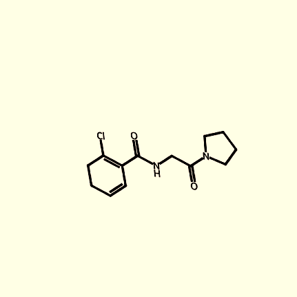 O=C(NCC(=O)N1CCCC1)C1=C(Cl)CCC=C1